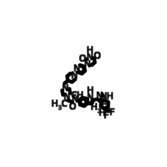 CC(C(=O)N(C)c1ccc2cc(-c3n[nH]c4c3C[C@@H]3C(F)(F)[C@]3(C)C4)[nH]c2c1)N1CCN(CC2CCN(c3ccc(N4CCC(=O)NC4=O)cn3)CC2)CC1